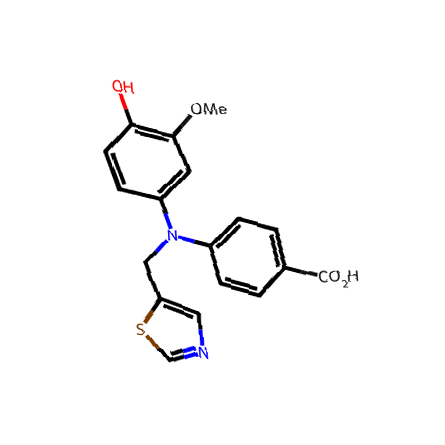 COc1cc(N(Cc2cncs2)c2ccc(C(=O)O)cc2)ccc1O